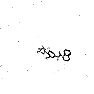 O=C1CN(c2c(O)cc(NC(=O)N3CCCc4ccccc43)cc2F)S(=O)(=O)N1